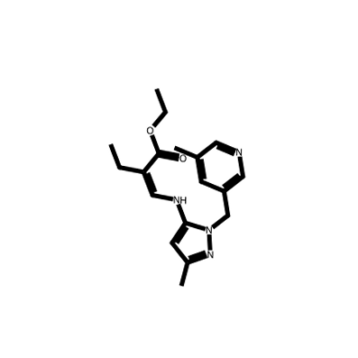 CCOC(=O)/C(=C\Nc1cc(C)nn1Cc1cncc(C)c1)CC